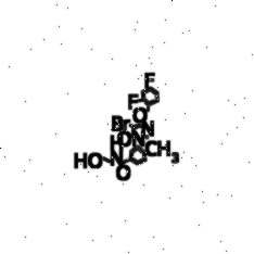 Cc1ccc(C(=O)NCCO)cc1-n1cnc(OCc2ccc(F)cc2F)c(Br)c1=O